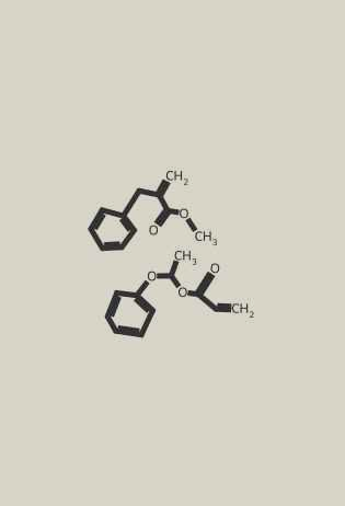 C=C(Cc1ccccc1)C(=O)OC.C=CC(=O)OC(C)Oc1ccccc1